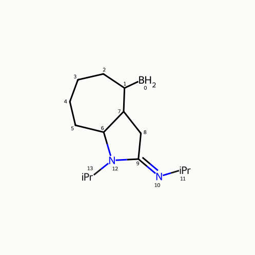 BC1CCCCC2C1C/C(=N\C(C)C)N2C(C)C